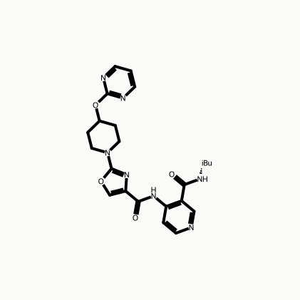 CC[C@@H](C)NC(=O)c1cnccc1NC(=O)c1coc(N2CCC(Oc3ncccn3)CC2)n1